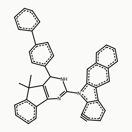 CC1(C)C2=C(N=C(n3c4c#cccc4c4cc5ccccc5cc43)NC2c2ccc(-c3ccccc3)cc2)c2ccccc21